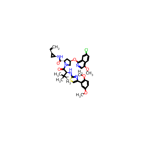 C=C[C@@H]1C[C@H]1NC(=O)[C@@H]1C[C@@H](Oc2ncc(OC)c3ccc(Cl)cc23)CN1C(=O)[C@@H](Nc1nc(-c2cc(OC)ccc2OC)cs1)C(C)(C)C